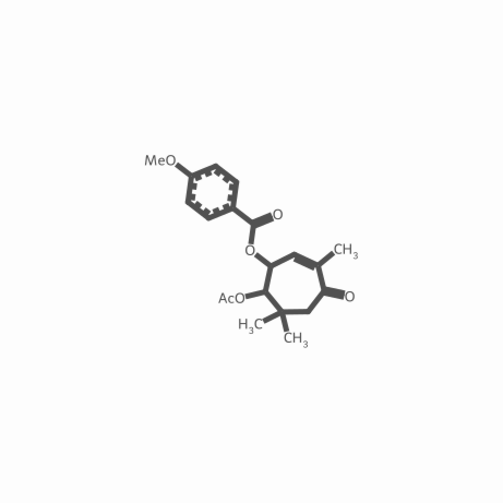 COc1ccc(C(=O)OC2C=C(C)C(=O)CC(C)(C)C2OC(C)=O)cc1